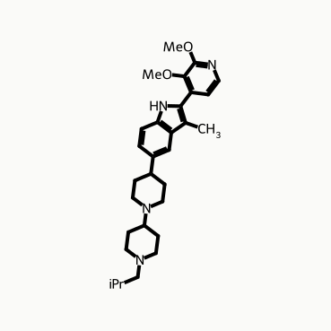 COc1nccc(-c2[nH]c3ccc(C4CCN(C5CCN(CC(C)C)CC5)CC4)cc3c2C)c1OC